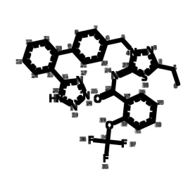 CCc1nn(Cc2ccc(-c3ccccc3-c3nnn[nH]3)cc2)c(=NC(=O)c2ccccc2OC(F)(F)F)s1